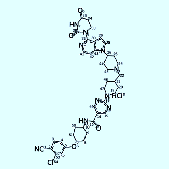 Cl.N#Cc1ccc(O[C@H]2CC[C@H](NC(=O)c3cnc(N4CCC(CN5CCC(n6ccc7c(N8CCC(=O)NC8=O)nccc76)CC5)CC4)nc3)CC2)cc1Cl